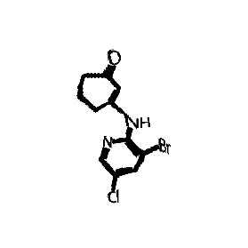 O=C1C=C(Nc2ncc(Cl)cc2Br)CCC1